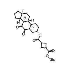 CC(C)(C)OC(=O)N1CC(C(=O)O[C@H]2CC[C@@]3(C)C(C2)C(=O)C(=O)[C@H]2[C@@H]4CCC[C@@]4(C)CC[C@@H]23)C1